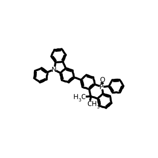 CC1(C)c2ccccc2P(=O)(c2ccccc2)c2ccc(-c3ccc4c(c3)c3ccccc3n4-c3ccccc3)cc21